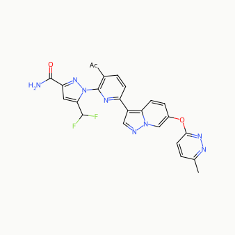 CC(=O)c1ccc(-c2cnn3cc(Oc4ccc(C)nn4)ccc23)nc1-n1nc(C(N)=O)cc1C(F)F